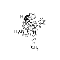 CCCCCCCN(CCN1CCN(C)CC1)C[C@@H]1O[C@@H](C23C[C@@H]4[C@H](C)CC[C@H]4C4(C=O)CC2C=C(C(C)C)[C@]43C(=O)O)C[C@H]1CC1CCCC1